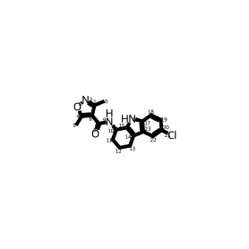 Cc1noc(C)c1C(=O)NC1CCCc2c1[nH]c1ccc(Cl)cc21